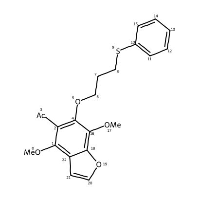 COc1c(C(C)=O)c(OCCCSc2ccccc2)c(OC)c2occc12